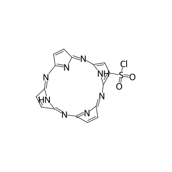 O=S(=O)(Cl)c1cc2nc3nc(nc4ccc(nc5nc(nc1[nH]2)C=C5)[nH]4)C=C3